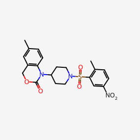 Cc1ccc2c(c1)COC(=O)N2C1CCN(S(=O)(=O)c2cc([N+](=O)[O-])ccc2C)CC1